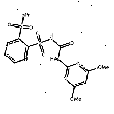 CCCS(=O)(=O)c1cccnc1S(=O)(=O)NC(=O)[AsH]c1nc(OC)cc(OC)n1